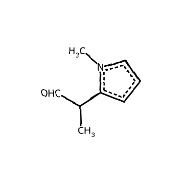 CC(C=O)c1cccn1C